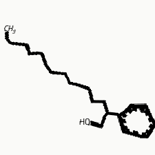 CCCCCCCCCCCC(CO)c1ccccc1